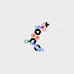 CC(C)(C)OC(=O)Nc1ccc(S(=O)(=O)c2cc(Cl)nc(N3CCNCC3)c2)cc1